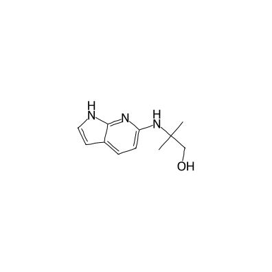 CC(C)(CO)Nc1ccc2cc[nH]c2n1